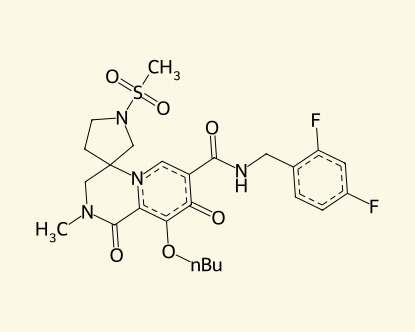 CCCCOc1c2n(cc(C(=O)NCc3ccc(F)cc3F)c1=O)C1(CCN(S(C)(=O)=O)C1)CN(C)C2=O